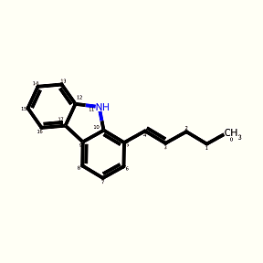 CCCC=Cc1cccc2c1[nH]c1ccccc12